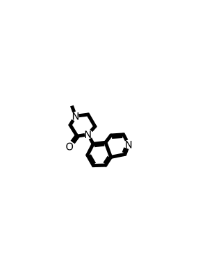 CN1CCN(c2cccc3cnccc23)C(=O)C1